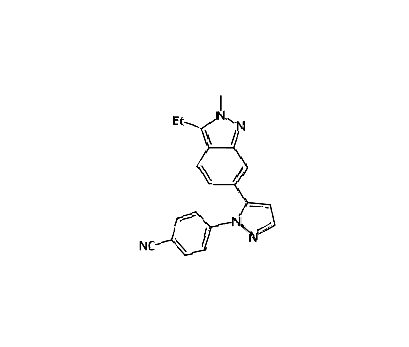 CCc1c2ccc(-c3ccnn3-c3ccc(C#N)cc3)cc2nn1C